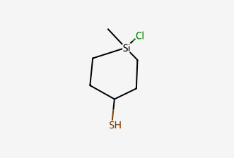 C[Si]1(Cl)CCC(S)CC1